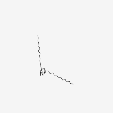 CCCCCCCCCCCCCc1cc(CCCCCCCCCCCCC)c[n+](C)c1